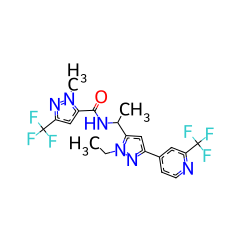 CCn1nc(-c2ccnc(C(F)(F)F)c2)cc1C(C)NC(=O)c1cc(C(F)(F)F)nn1C